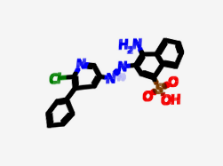 Nc1c(/N=N/c2cnc(Cl)c(-c3ccccc3)c2)cc(S(=O)(=O)O)c2ccccc12